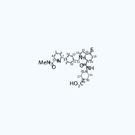 CNC(=O)c1cccc(-c2ccc(Cn3ccc4c(F)ccc(C(=O)NC5CCC(C(=O)O)CC5)c43)cc2)n1